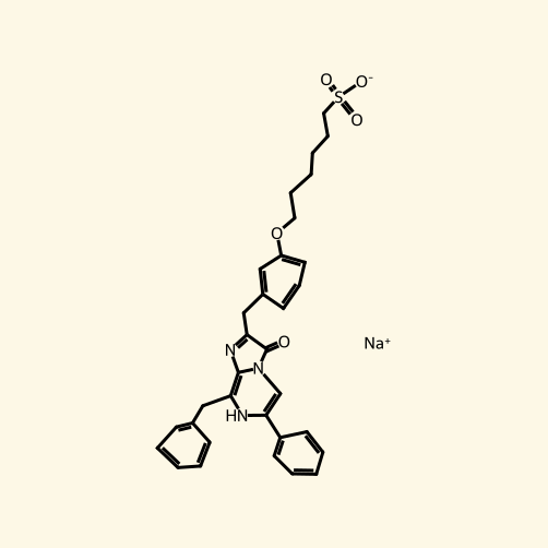 O=c1c(Cc2cccc(OCCCCCCS(=O)(=O)[O-])c2)nc2c(Cc3ccccc3)[nH]c(-c3ccccc3)cn1-2.[Na+]